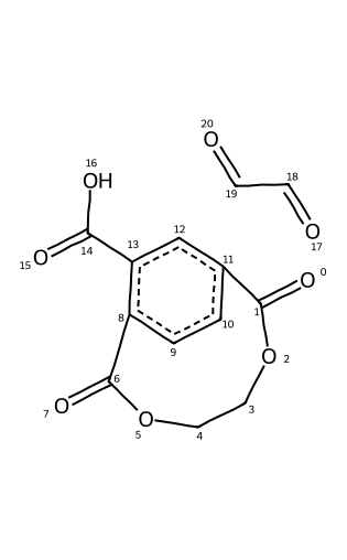 O=C1OCCOC(=O)c2ccc1cc2C(=O)O.O=CC=O